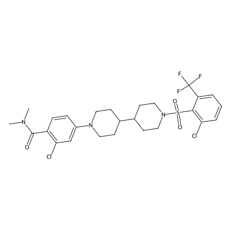 CN(C)C(=O)c1ccc(N2CCC(C3CCN(S(=O)(=O)c4c(Cl)cccc4C(F)(F)F)CC3)CC2)cc1Cl